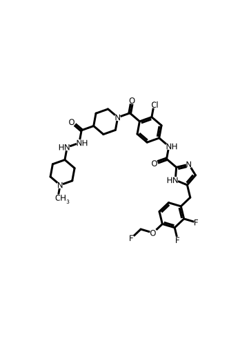 CN1CCC(NNC(=O)C2CCN(C(=O)c3ccc(NC(=O)c4ncc(Cc5ccc(OCF)c(F)c5F)[nH]4)cc3Cl)CC2)CC1